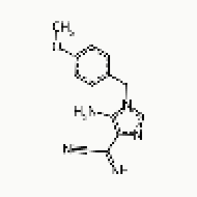 COc1ccc(Cn2cnc(C(=N)C#N)c2N)cc1